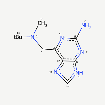 CN(Cc1nc(N)nc2[nH]cnc12)C(C)(C)C